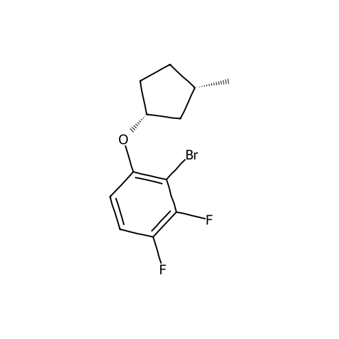 C[C@H]1CC[C@@H](Oc2ccc(F)c(F)c2Br)C1